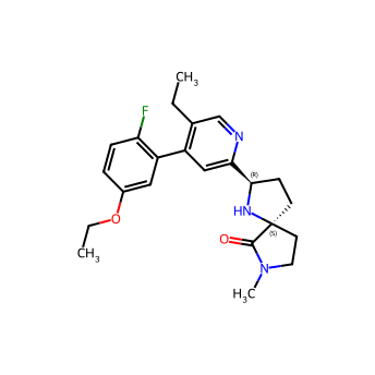 CCOc1ccc(F)c(-c2cc([C@H]3CC[C@@]4(CCN(C)C4=O)N3)ncc2CC)c1